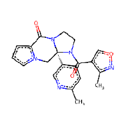 Cc1ccc([C@]23Cn4cccc4C(=O)N2CCN3C(=O)c2conc2C)cn1